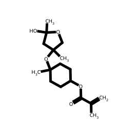 C=C(C)C(=O)OC1CCC(C)(OC2(C)COC(C)(O)C2)CC1